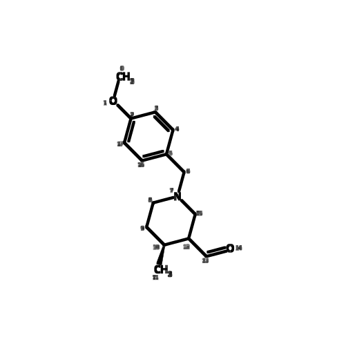 COc1ccc(CN2CC[C@H](C)C(C=O)C2)cc1